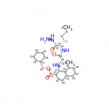 CCCC[C@H](NC(=O)[C@H](C)Nc1c(C(=O)OCc2ccccc2)ccc2ccccc12)C(=O)NN